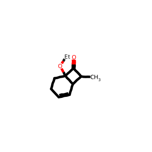 CCOC12CCC=CC1C(C)C2=O